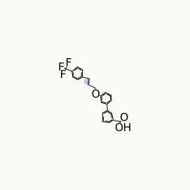 O=C(O)c1cccc(-c2cccc(OC/C=C/c3ccc(C(F)(F)F)cc3)c2)c1